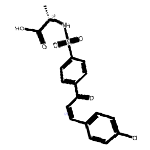 C[C@H](NS(=O)(=O)c1ccc(C(=O)/C=C\c2ccc(Cl)cc2)cc1)C(=O)O